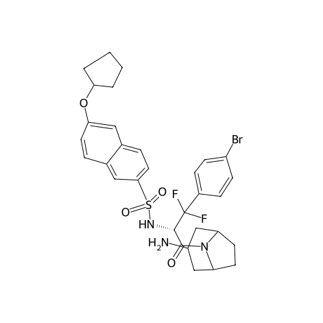 NC1CC2CCC(C1)N2C(=O)[C@H](NS(=O)(=O)c1ccc2cc(OC3CCCC3)ccc2c1)C(F)(F)c1ccc(Br)cc1